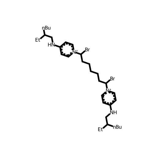 CCCCC(CC)CNc1cc[n+](C(Br)CCCCCC(Br)[n+]2ccc(NCC(CC)CCCC)cc2)cc1